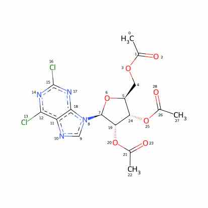 CC(=O)OC[C@@H]1O[C@H](n2cnc3c(Cl)nc(Cl)nc32)[C@@H](OC(C)=O)[C@H]1OC(C)=O